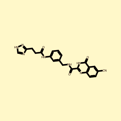 N#Cc1ccc2nc(C(=O)NCc3cccc(NC(=O)CCc4nc[nH]n4)c3)[nH]c(=O)c2c1